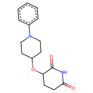 O=C1CCC(OC2CCN(c3ccccc3)CC2)C(=O)N1